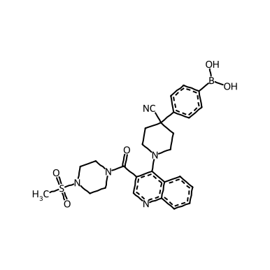 CS(=O)(=O)N1CCN(C(=O)c2cnc3ccccc3c2N2CCC(C#N)(c3ccc(B(O)O)cc3)CC2)CC1